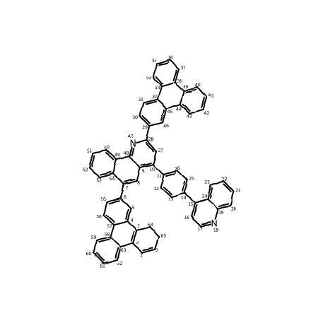 C1=Cc2c(c3cc(-c4cc5c(-c6ccc(-c7ccnc8ccccc78)cc6)cc(-c6ccc7c8ccccc8c8ccccc8c7c6)nc5c5ccccc45)ccc3c3ccccc23)CC1